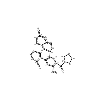 Nc1nc(-n2ccccc2=O)c(-c2ccc3[nH]c(=O)ccc3c2)nc1C(=O)N1CCCC1